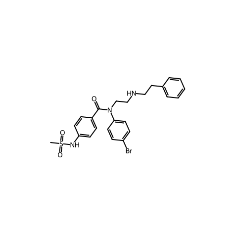 CS(=O)(=O)Nc1ccc(C(=O)N(CCNCCc2ccccc2)c2ccc(Br)cc2)cc1